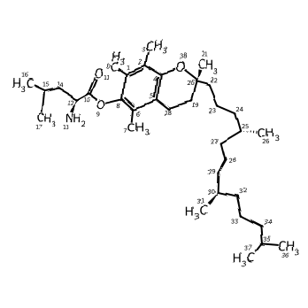 Cc1c(C)c2c(c(C)c1OC(=O)[C@@H](N)CC(C)C)CC[C@@](C)(CCC[C@H](C)CCC[C@H](C)CCCC(C)C)O2